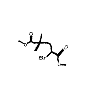 COC(=O)C(Br)CC(C)(C)C(=O)OC